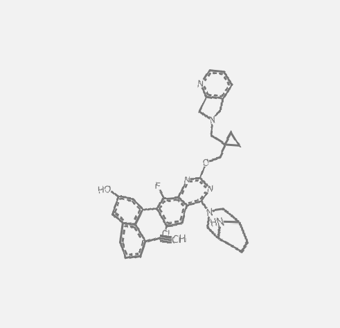 C#Cc1cccc2cc(O)cc(-c3c(Cl)cc4c(N5CC6CCC(C5)N6)nc(OCC5(CN6Cc7cccnc7C6)CC5)nc4c3F)c12